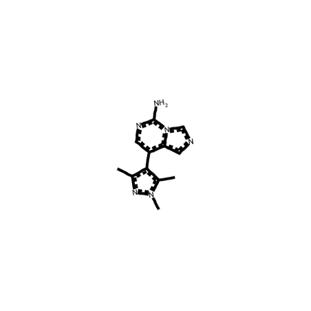 Cc1nn(C)c(C)c1-c1cnc(N)n2cncc12